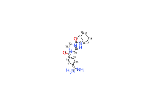 N=C(N)c1ccc(C(=O)N2CCN(C(=O)NC3CCCCC3)CC2)cc1